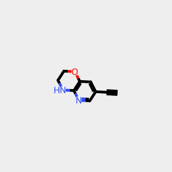 C#Cc1cnc2c(c1)OCCN2